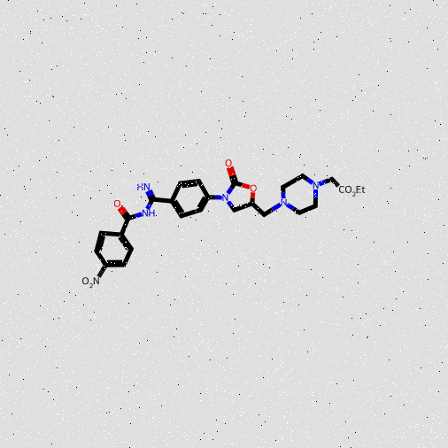 CCOC(=O)CN1CCN(CC2CN(c3ccc(C(=N)NC(=O)c4ccc([N+](=O)[O-])cc4)cc3)C(=O)O2)CC1